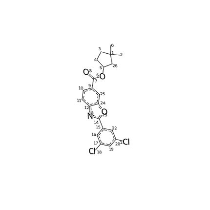 CC1(C)CCC(OC(=O)c2ccc3nc(-c4cc(Cl)cc(Cl)c4)oc3c2)C1